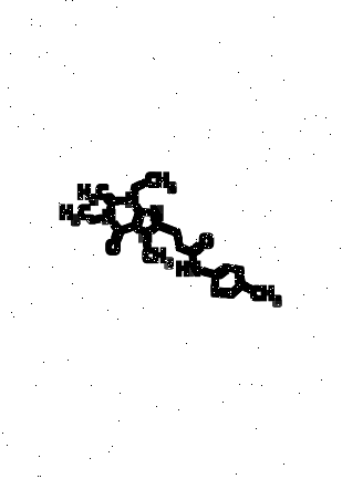 C=C1N(CC)C(=O)c2c(nc(CCC(=O)Nc3ccc(C)cc3)n2C)N1CC